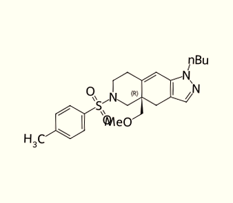 CCCCn1ncc2c1C=C1CCN(S(=O)(=O)c3ccc(C)cc3)C[C@@]1(COC)C2